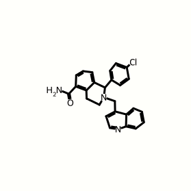 NC(=O)c1cccc2c1CCN(Cc1ccnc3ccccc13)C2c1ccc(Cl)cc1